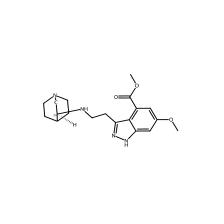 COC(=O)c1cc(OC)cc2[nH]nc(CCN[C@@H]3CN4CCC3CC4)c12